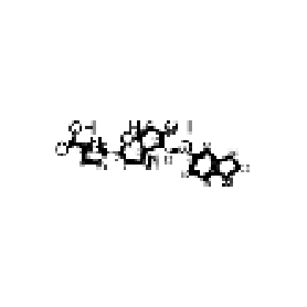 O=C(O)c1csc([C@H]2CC[C@@H]3[C@@H](COc4ccc5c(c4)CCC5)[C@H](O)C[C@@H]3O2)n1